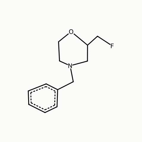 FCC1CN(Cc2ccccc2)CCO1